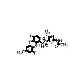 CC(=O)Nc1nc(C)c(S(=O)(=O)Nc2ccc(F)c(F)c2Nc2ccc(C)cc2F)s1